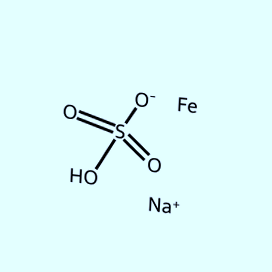 O=S(=O)([O-])O.[Fe].[Na+]